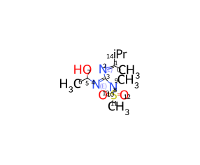 C/C(=N\C(=N/C(C)O)N(C)S(C)(=O)=O)C(C)C